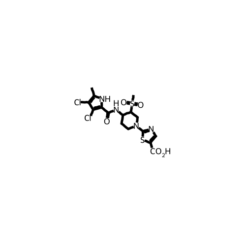 Cc1[nH]c(C(=O)NC2CCN(c3ncc(C(=O)O)s3)CC2S(C)(=O)=O)c(Cl)c1Cl